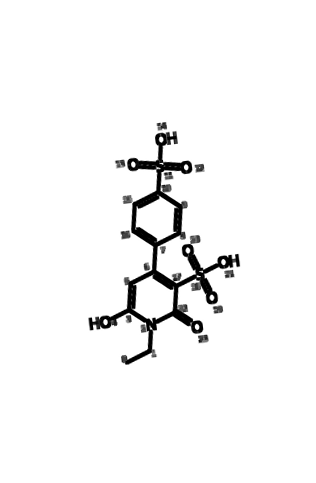 CCn1c(O)cc(-c2ccc(S(=O)(=O)O)cc2)c(S(=O)(=O)O)c1=O